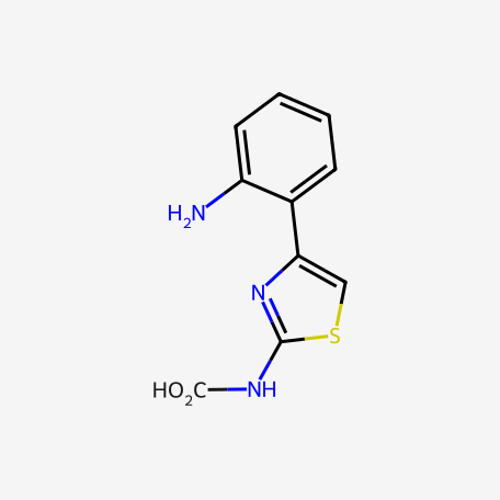 Nc1ccccc1-c1csc(NC(=O)O)n1